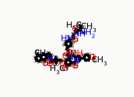 COc1ccc(C2=CN3C(=O)c4cc(OC)c(OCC56CC5(C(=O)N5CCc7cc8c(C)cccc8c(O)c75)C6)cc4N(C(=O)OCc4ccc(NC(=O)CNC(=O)[C@@H](N)C(C)C)cc4)[C@@H](O)C3C2)cc1